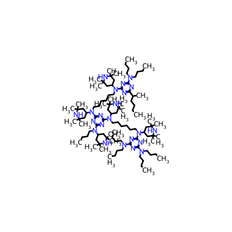 CCCCC(C)c1nc(N(CCCC)CCCC)nc(N(CCCCCCN(c2nc(N(CCCC)C3CC(C)(C)NC(C)(C)C3)nc(N(CCCCCCN(c3nc(N(CCCC)CCCC)nc(N(CCCC)CCCC)n3)C3CC(C)(C)NC(C)(C)C3)C3CC(C)(C)NC(C)(C)C3)n2)C2CC(C)(C)NC(C)(C)C2)C2CC(C)(C)NC(C)(C)C2)n1